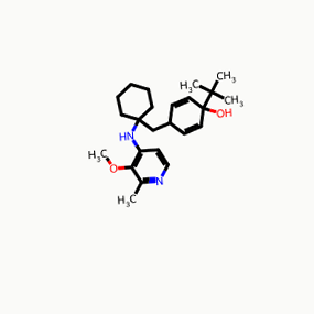 COc1c(NC2(CC3C=CC(O)(C(C)(C)C)C=C3)CCCCC2)ccnc1C